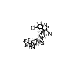 N#Cc1cnc2ccc(Cl)cc2c1N1CCN(C(=O)N2CCn3c(nnc3C(F)(F)F)C2)CC1